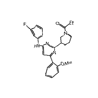 CCC(=O)N1CCCC(c2nc(Nc3cccc(F)c3)cc(-c3ccccc3OC)n2)C1